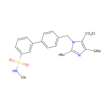 CCCCc1nc(SC)c(C(=O)OCC)n1Cc1ccc(-c2cccc(S(=O)(=O)NC#N)c2)cc1